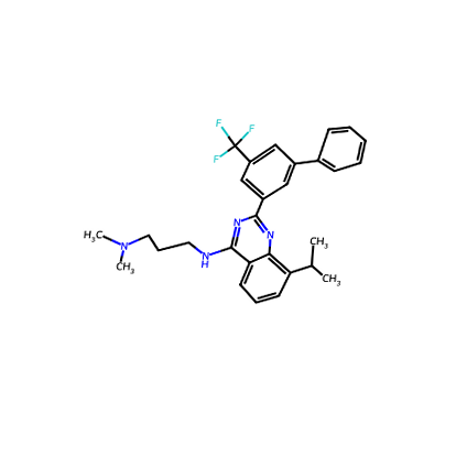 CC(C)c1cccc2c(NCCCN(C)C)nc(-c3cc(-c4ccccc4)cc(C(F)(F)F)c3)nc12